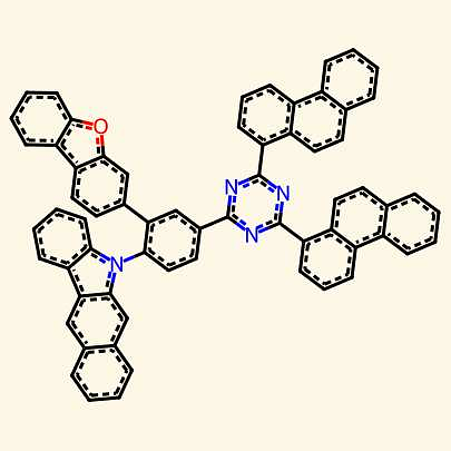 c1ccc2cc3c(cc2c1)c1ccccc1n3-c1ccc(-c2nc(-c3cccc4c3ccc3ccccc34)nc(-c3cccc4c3ccc3ccccc34)n2)cc1-c1ccc2c(c1)oc1ccccc12